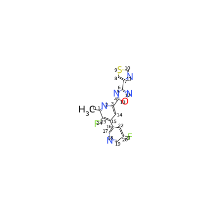 Cc1nc(-c2nc(-c3cscn3)no2)cc(-c2cncc(F)c2)c1F